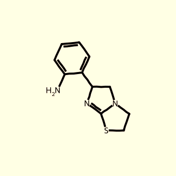 Nc1ccccc1C1CN2CCSC2=N1